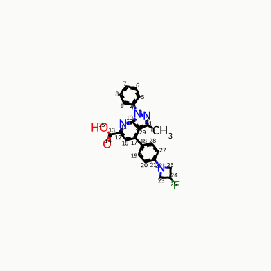 Cc1nn(-c2ccccc2)c2nc(C(=O)O)cc(-c3ccc(N4CC(F)C4)cc3)c12